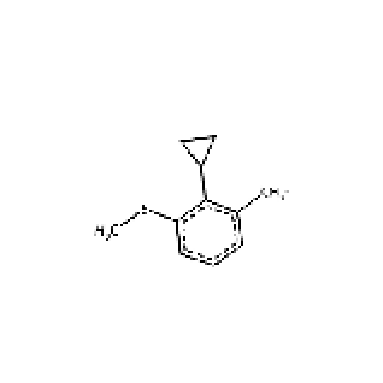 [CH2]c1cccc(SC)c1C1CC1